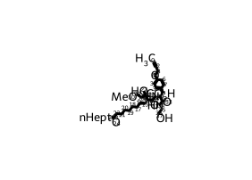 CC#CCOc1ccc(C[C@H](NC(=O)[C@@H](C=CCCCCCCC(=O)CCCCCCC)[C@@](O)(CCOC)C(=O)O)C(=O)NCCO)cc1